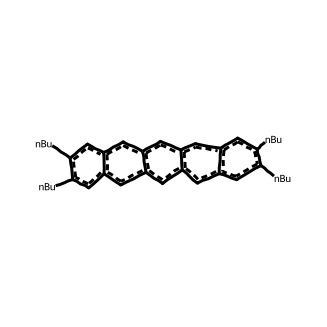 CCCCc1cc2cc3cc4cc5cc(CCCC)c(CCCC)cc5cc4cc3cc2cc1CCCC